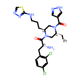 CC(C)C[C@@H]1CN(C(=O)[C@H](N)Cc2ccc(Cl)cc2Cl)[C@@H](CCCNc2nncs2)CN1C(=O)c1cn[nH]c1